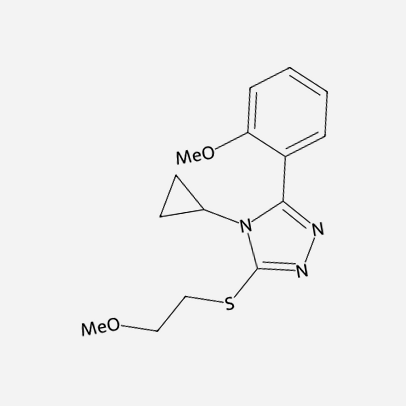 COCCSc1nnc(-c2ccccc2OC)n1C1CC1